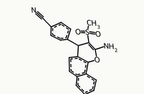 CS(=O)(=O)C1=C(N)Oc2c(ccc3ccccc23)C1c1ccc(C#N)cc1